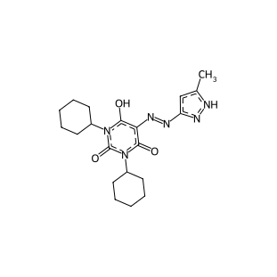 Cc1cc(N=Nc2c(O)n(C3CCCCC3)c(=O)n(C3CCCCC3)c2=O)n[nH]1